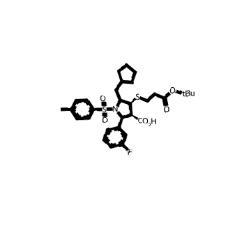 Cc1ccc(S(=O)(=O)N2C(CC3CCCC3)[C@@H](SCCC(=O)OC(C)(C)C)[C@@H](C(=O)O)C2c2cccc(F)c2)cc1